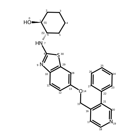 O[C@H]1CCCC[C@@H]1Nc1nc2ccc(OCc3ccncc3-c3ccccc3)cc2s1